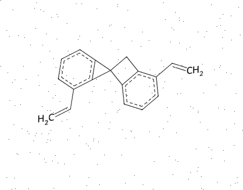 C=Cc1cccc2c1CC21c2cccc(C=C)c21